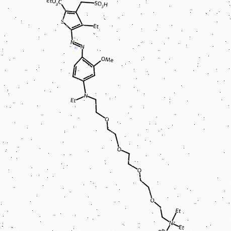 CCCC[N+](CC)(CC)CCOCCOCCOCCOCCN(CC)c1ccc(/N=N/c2sc(C(=O)OCC)c(CS(=O)(=O)O)c2CC)c(OC)c1